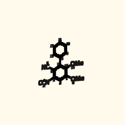 COc1cc([N+](=O)[O-])c(C#N)c(-c2ccccc2)c1OC